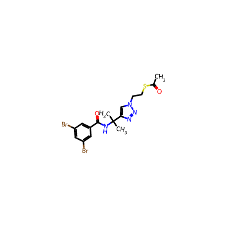 CC(=O)SCCn1cc(C(C)(C)NC(=O)c2cc(Br)cc(Br)c2)nn1